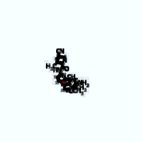 Cc1cc(C#N)cnc1C(=O)Nc1ccc(F)c([C@@]2(C)N=C(N)C(C)(C)[S@@]3(=O)=NCC[C@H]23)n1